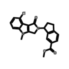 COC(=O)c1ccc2c(c1)C(N1Cc3c(c4c(Cl)cccc4n3C)C1=O)CC2